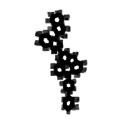 c1ccc(-c2ccc(N(c3ccccc3)c3cccc4c3-c3ccc(-c5nc(-c6ccc7ccccc7c6)c6ccccc6n5)cc3C4)cc2)cc1